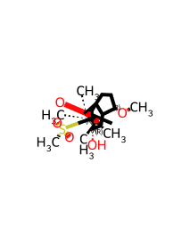 CO[C@@H]1CCC23CC[C@@H](C)[C@](C)(C12)[C@H](O)C[C@@](C)(S(C)(=O)=O)C(=O)[C@@H]3C